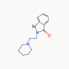 O=c1c2ccccc2[se]n1CCN1CCCCC1